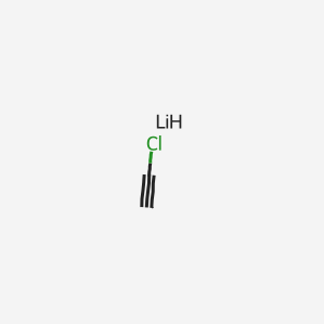 [C]#CCl.[LiH]